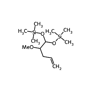 C=CCC(OC)C(O[Si](C)(C)C)O[Si](C)(C)C